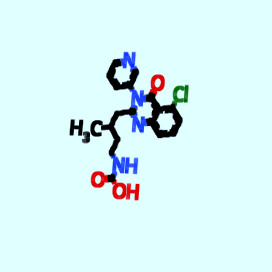 CC(CCNC(=O)O)Cc1nc2cccc(Cl)c2c(=O)n1-c1cccnc1